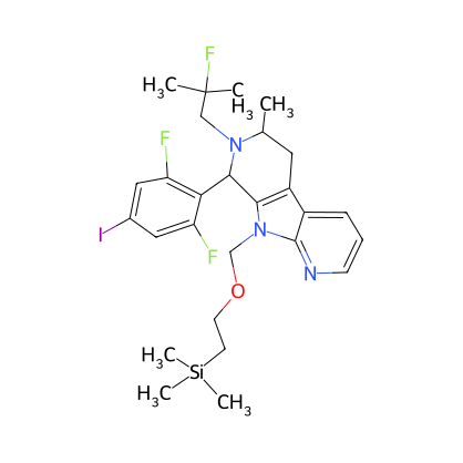 CC1Cc2c(n(COCC[Si](C)(C)C)c3ncccc23)C(c2c(F)cc(I)cc2F)N1CC(C)(C)F